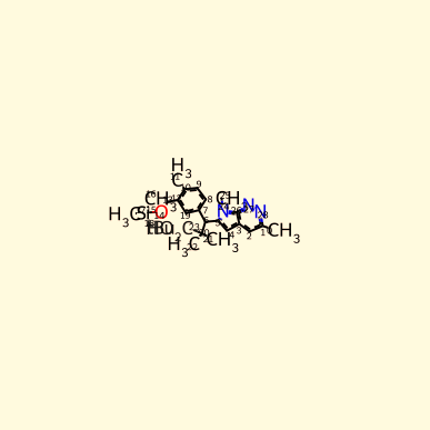 Cc1cc2cc(C(c3ccc(C)c(CO[Si](C)(C)C(C)(C)C)c3)C(C)(C)C(=O)O)n(C)c2nn1